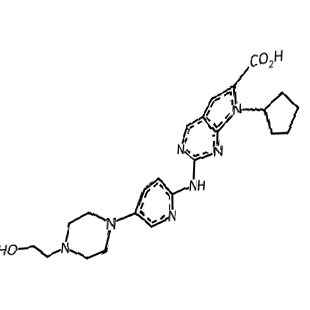 O=C(O)c1cc2cnc(Nc3ccc(N4CCN(CCO)CC4)cn3)nc2n1C1CCCC1